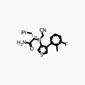 Cc1c(F)cccc1-c1cscc1N(CC#N)[C@@H](CC(C)C)C(N)=O